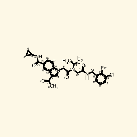 CC(=O)c1cn(CC(=O)N(CC(=O)NCc2cccc(Cl)c2F)C(C)C)c2ccc(C(=O)NC3CC3)cc12